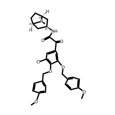 COc1ccc(COc2cc(C(=O)C(=O)N[C@H]3C[C@H]4CC[C@@H](C3)N4C)cc(Cl)c2OCc2ccc(OC)cc2)cc1